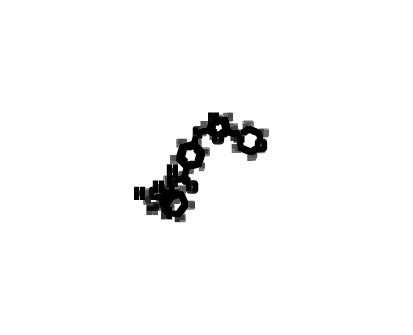 C[C@H]1[C@H](NC(=O)c2ccc(Sc3ncc(N4CCOCC4)o3)cc2)C2CCN1CC2